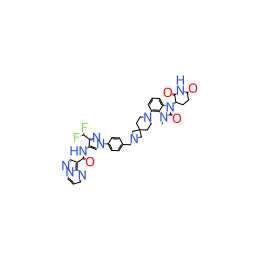 Cn1c(=O)n(C2CCC(=O)NC2=O)c2cccc(N3CCC4(CC3)CN(Cc3ccc(-n5cc(NC(=O)c6cnn7cccnc67)c(C(F)F)n5)cc3)C4)c21